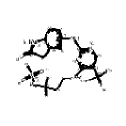 CC(C)(CCNc1nc(Nc2ccc3c(c2)CC(=O)N3)ncc1C(F)(F)F)NS(C)(=O)=O